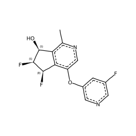 Cc1ncc(Oc2cncc(F)c2)c2c1[C@H](O)[C@H](F)[C@@H]2F